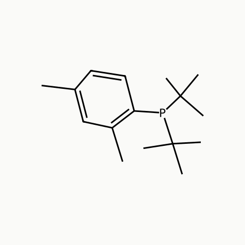 Cc1ccc(P(C(C)(C)C)C(C)(C)C)c(C)c1